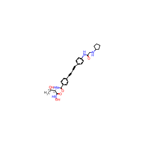 C[C@@H](O)[C@H](NC(=O)c1ccc(C#CC#Cc2ccc(NC(=O)CNC3CCCC3)cc2)cc1)C(=O)NO